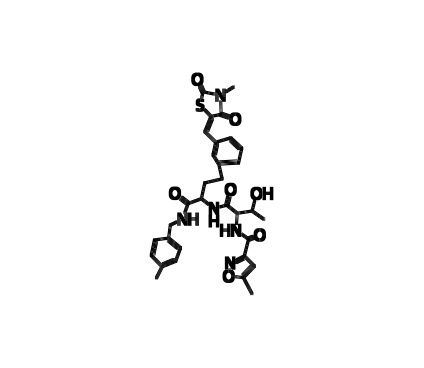 Cc1ccc(CNC(=O)C(CCc2cccc(C=C3SC(=O)N(C)C3=O)c2)NC(=O)C(NC(=O)c2cc(C)on2)C(C)O)cc1